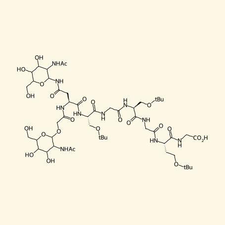 CC(=O)NC1C(NC(=O)C[C@H](NC(=O)COC2OC(CO)C(O)C(O)C2NC(C)=O)C(=O)N[C@@H](COC(C)(C)C)C(=O)NCC(=O)N[C@@H](COC(C)(C)C)C(=O)NCC(=O)N[C@@H](CCOC(C)(C)C)C(=O)NCC(=O)O)OC(CO)C(O)C1O